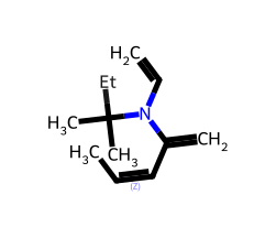 C=CN(C(=C)/C=C\C)C(C)(C)CC